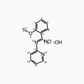 Cl.Cl.[Ti][O]c1ccccc1C=Nc1ccccn1